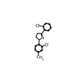 Cc1ccc(C2CCC(c3ccccc3Cl)=N2)c(Cl)c1